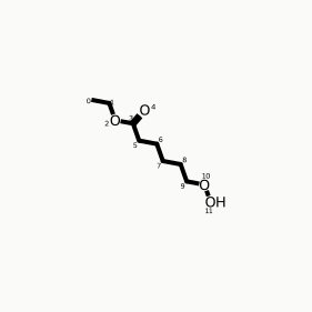 CCOC(=O)CCCCCOO